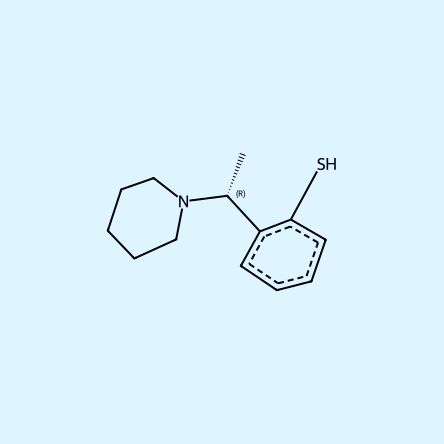 C[C@H](c1ccccc1S)N1CCCCC1